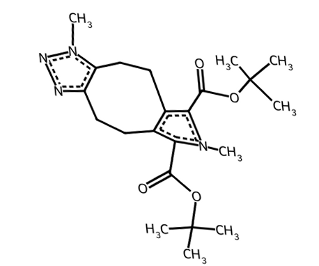 Cn1nnc2c1CCc1c(c(C(=O)OC(C)(C)C)n(C)c1C(=O)OC(C)(C)C)CC2